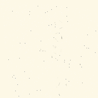 CC(C)(C(=O)O)C1CCC(Oc2[nH]c3cc(Cl)c(-c4ccc(-c5ccccc5)cc4)nc3c2C#N)CC1